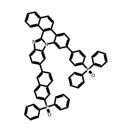 O=P(c1ccccc1)(c1ccccc1)c1ccc(-c2ccc3c4ccc5ccccc5c4c4nc5ccc(-c6ccc7cc(P(=O)(c8ccccc8)c8ccccc8)ccc7c6)cc5n4c3c2)cc1